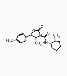 Cc1ccc(C2OC(=O)N(C(=O)NC3CCCCC3C)C2C)cc1